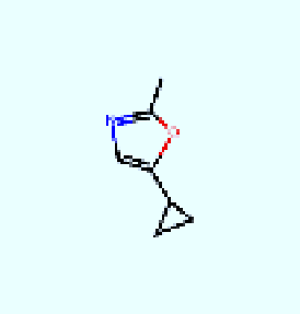 Cc1ncc(C2CC2)o1